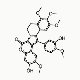 COc1ccc(-c2c3n(c4c(=O)oc5cc(O)c(OC)cc5c24)CCc2c-3cc(OC)c(OC)c2OC)cc1O